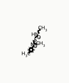 CCCCNC(=O)CSCc1nc(-c2ccc(C)cc2)oc1C